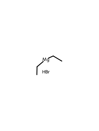 Br.C[CH2][Mg][CH2]C